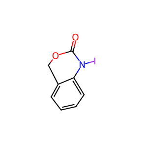 O=C1OCc2ccccc2N1I